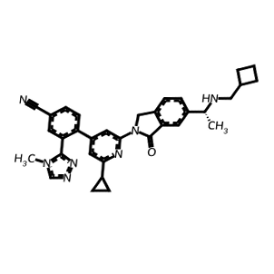 C[C@@H](NCC1CCC1)c1ccc2c(c1)C(=O)N(c1cc(-c3ccc(C#N)cc3-c3nncn3C)cc(C3CC3)n1)C2